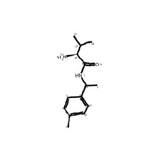 Cc1ccc(C(C)NC(=O)[C@@H](N)C(C)C)cc1